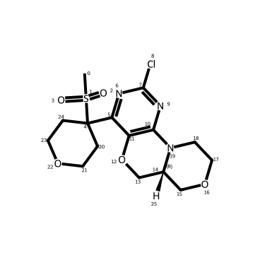 CS(=O)(=O)C1(c2nc(Cl)nc3c2OC[C@H]2COCCN32)CCOCC1